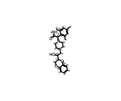 Cc1cc(C)c(C(C(N)=O)N2CCN(CC(O)C3COc4ccccc4O3)CC2)c(C)c1